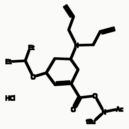 C=CCN(CC=C)C1CC(C(=O)ON(C(C)=O)C(C)(C)C)=CC(OC(CC)CC)C1.Cl